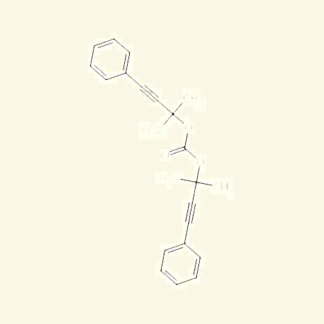 CC(C)(C#Cc1ccccc1)OC(=O)OC(C)(C)C#Cc1ccccc1